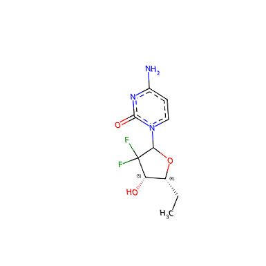 CC[C@H]1OC(n2ccc(N)nc2=O)C(F)(F)[C@H]1O